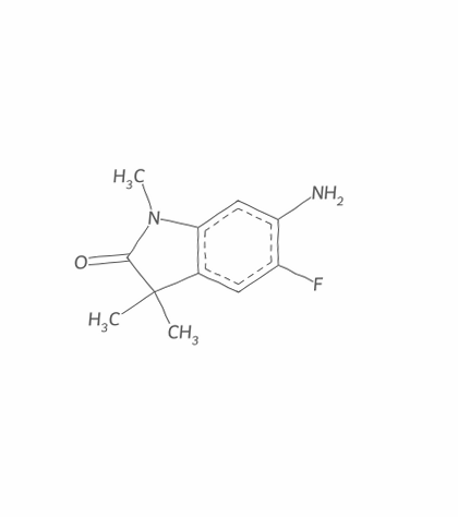 CN1C(=O)C(C)(C)c2cc(F)c(N)cc21